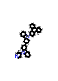 C1=CC2C3C=C(C4CC=C5C(C4)C4=C(CCC=C4)N5C4=CC5C6=C(C=CCC6)c6ccccc6C5C=C4)C=CC3N(c3ccncc3)C2C=C1